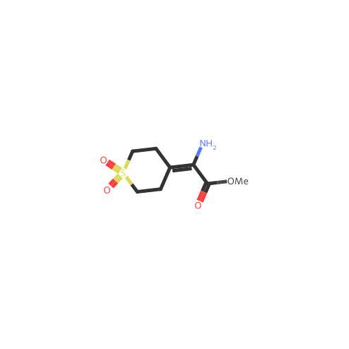 COC(=O)C(N)=C1CCS(=O)(=O)CC1